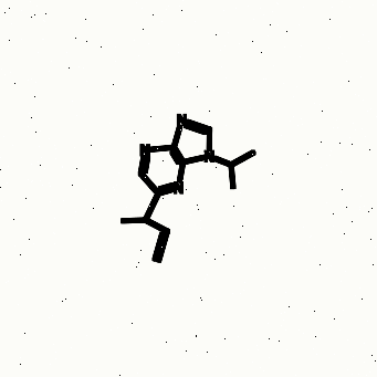 C=CC(C)c1cnc2ncn(C(C)C)c2n1